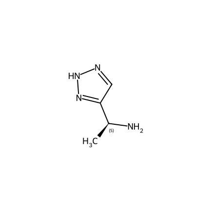 C[C@H](N)c1cn[nH]n1